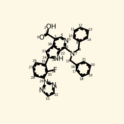 O=C(O)c1cnc(N(Cc2ccccc2)Cc2ccccc2)c2[nH]c(-c3cccc(-n4nccn4)c3F)cc12